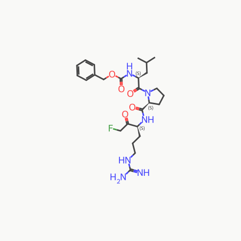 CC(C)C[C@H](NC(=O)OCc1ccccc1)C(=O)N1CCC[C@H]1C(=O)N[C@@H](CCCNC(=N)N)C(=O)CF